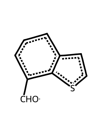 O=[C]c1cccc2ccsc12